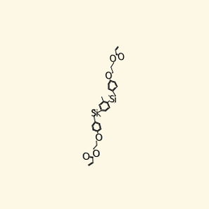 C=CC(=O)OCCCOc1ccc(C[Si](C)(C)c2ccc([Si](C)(C)Cc3ccc(OCCCOC(=O)C=C)cc3)c(C)c2)cc1